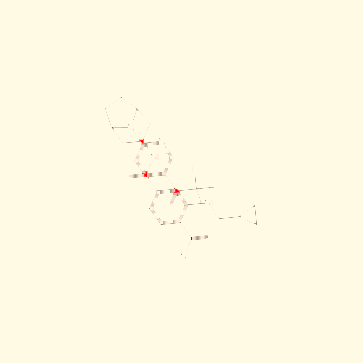 NC(=O)c1ccc(C(=O)NC2CC3CCC(C2)N3c2ccc(C(=O)C(F)(F)F)cn2)cc1NCC1CC1